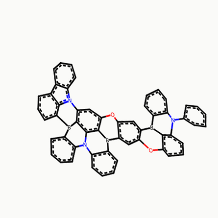 c1ccc(N2c3ccccc3B3c4cc5c(cc4Oc4cccc2c43)B2c3ccccc3N3c4ccccc4B4c6c(cc(c2c63)O5)-n2c3ccccc3c3cccc4c32)cc1